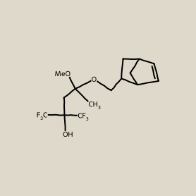 COC(C)(CC(O)(C(F)(F)F)C(F)(F)F)OCC1CC2C=CC1C2